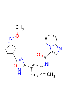 CO/N=C1/CCC(C2=NC(c3ccc(C)c(NC(=O)c4cnc5ccccn45)c3)NO2)C1